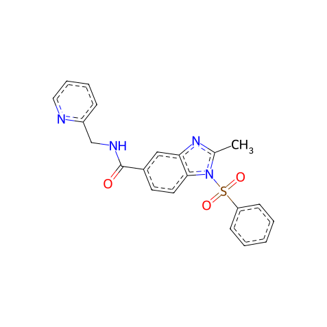 Cc1nc2cc(C(=O)NCc3ccccn3)ccc2n1S(=O)(=O)c1ccccc1